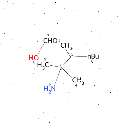 CCCCC(C)C(C)(C)N.O=CO